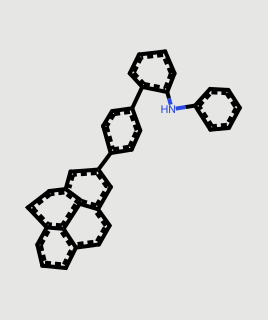 c1ccc(Nc2ccccc2-c2ccc(-c3cc4ccc5cccc6ccc(c3)c4c56)cc2)cc1